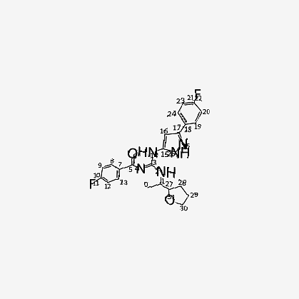 CC(N/C(=N/C(=O)c1ccc(F)cc1)Nc1cc(-c2ccc(F)cc2)n[nH]1)C1CCCO1